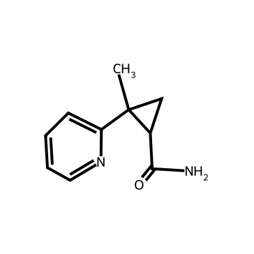 CC1(c2ccccn2)CC1C(N)=O